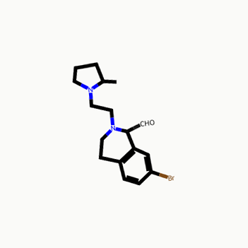 CC1CCCN1CCN1CCc2ccc(Br)cc2C1C=O